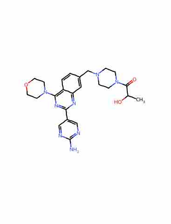 CC(O)C(=O)N1CCN(Cc2ccc3c(N4CCOCC4)nc(-c4cnc(N)nc4)nc3c2)CC1